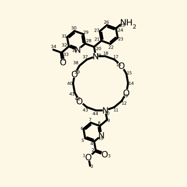 COC(=O)c1cccc(CN2CCOCCOCCN(C(c3ccc(N)cc3)c3cccc(C(C)=O)n3)CCOCCOCC2)n1